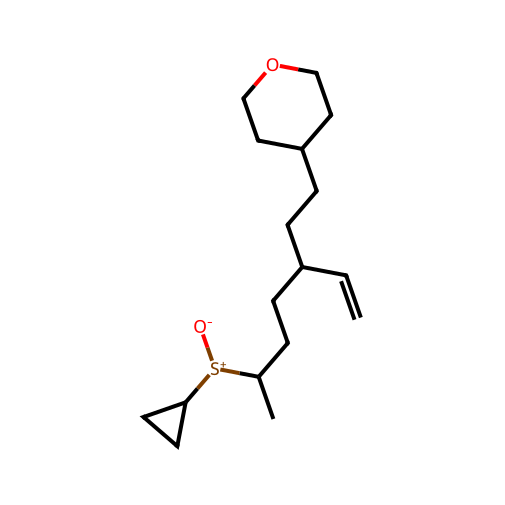 C=CC(CCC1CCOCC1)CCC(C)[S+]([O-])C1CC1